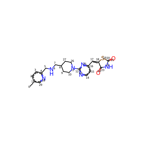 Cc1ccc(CNCC2CCN(c3nccc(/C=C4/SC(=O)NC4=O)n3)CC2)nc1